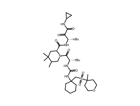 CCCC[C@H](NC(=O)[C@@H]1CC(C)(C)C(C)CN1C(=O)[C@@H](NC(=O)NC1(CS(=O)(=O)C2(C)CCOCC2)CCCCC1)C(C)(C)C)C(=O)C(=O)NC1CC1